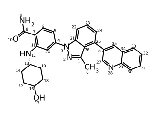 Cc1nn(-c2ccc(C(N)=O)c(N[C@H]3CC[C@H](O)CC3)c2)c2cccc(-c3cnc4ccccc4c3)c12